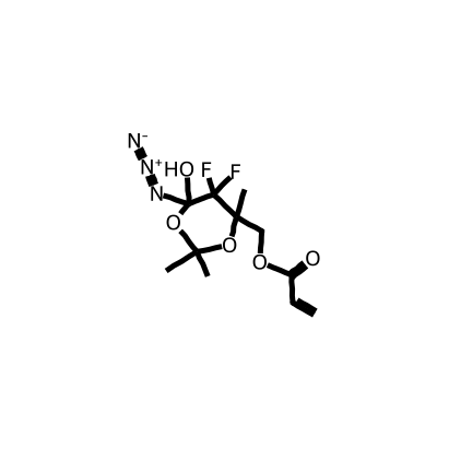 C=CC(=O)OCC1(C)OC(C)(C)OC(O)(N=[N+]=[N-])C1(F)F